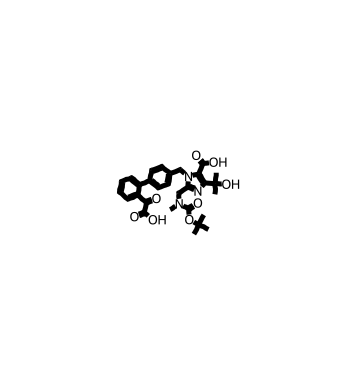 CN(Cc1nc(C(C)(C)O)c(C(=O)O)n1Cc1ccc(-c2ccccc2C(=O)C(=O)O)cc1)C(=O)OC(C)(C)C